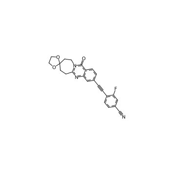 N#Cc1ccc(C#Cc2ccc3c(=O)n4c(nc3c2)CCC2(CC4)OCCO2)c(F)c1